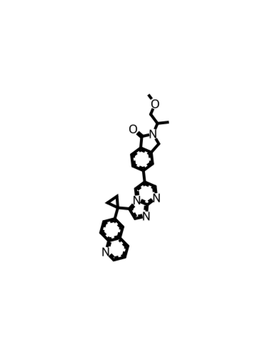 COCC(C)N1Cc2cc(-c3cnc4ncc(C5(c6ccc7ncccc7c6)CC5)n4c3)ccc2C1=O